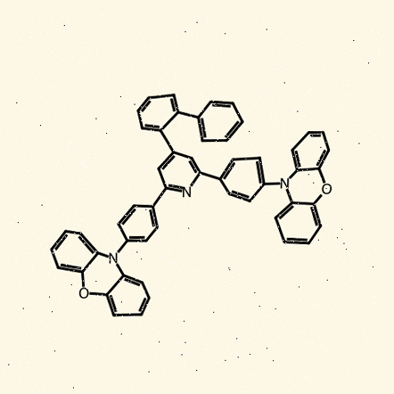 c1ccc(-c2ccccc2-c2cc(-c3ccc(N4c5ccccc5Oc5ccccc54)cc3)nc(-c3ccc(N4c5ccccc5Oc5ccccc54)cc3)c2)cc1